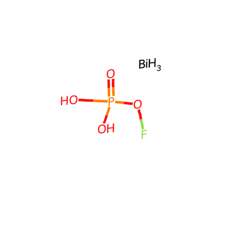 O=P(O)(O)OF.[BiH3]